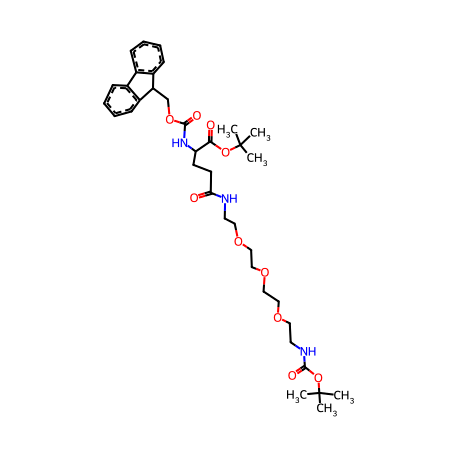 CC(C)(C)OC(=O)NCCOCCOCCOCCNC(=O)CCC(NC(=O)OCC1c2ccccc2-c2ccccc21)C(=O)OC(C)(C)C